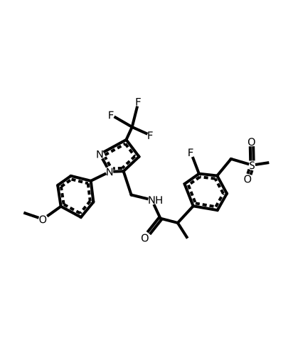 COc1ccc(-n2nc(C(F)(F)F)cc2CNC(=O)C(C)c2ccc(CS(C)(=O)=O)c(F)c2)cc1